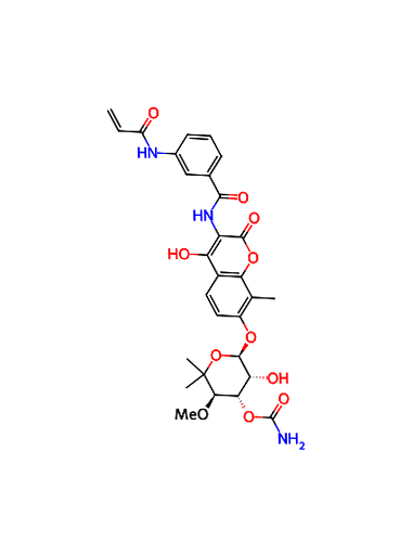 C=CC(=O)Nc1cccc(C(=O)Nc2c(O)c3ccc(O[C@@H]4OC(C)(C)[C@H](OC)[C@@H](OC(N)=O)[C@H]4O)c(C)c3oc2=O)c1